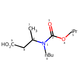 CCCCN(C(=O)OC(C)C)C(C)CC(=O)O